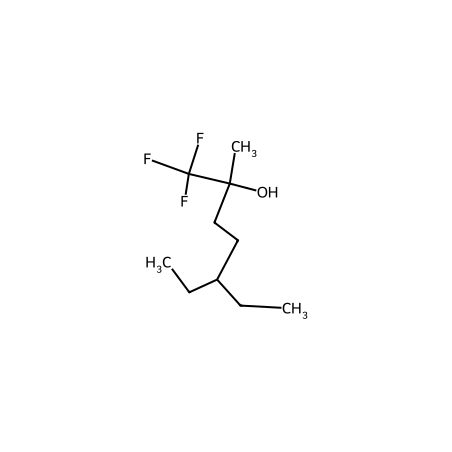 CCC(CC)CCC(C)(O)C(F)(F)F